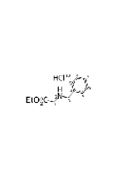 CCOC(=O)CNCc1ccccc1.Cl